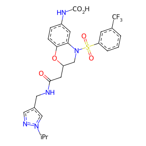 CC(C)n1cc(CNC(=O)CC2CN(S(=O)(=O)c3cccc(C(F)(F)F)c3)c3cc(NC(=O)O)ccc3O2)cn1